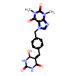 Cn1c(=O)c2c(ncn2Cc2ccc(/C=C3/C(=O)NC(=O)NC3O)cc2)n(C)c1=O